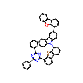 c1ccc(-c2nc(-c3ccccc3)nc(-c3cccc4c3sc3c(-n5c6ccccc6c6cc(-c7cccc8c7oc7ccccc78)ccc65)cccc34)n2)cc1